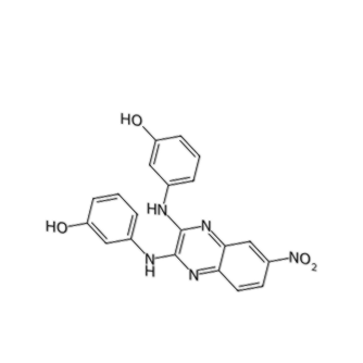 O=[N+]([O-])c1ccc2nc(Nc3cccc(O)c3)c(Nc3cccc(O)c3)nc2c1